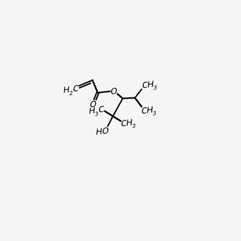 C=CC(=O)OC(C(C)C)C(C)(C)O